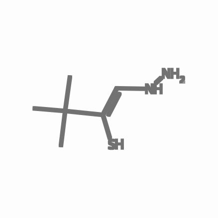 CC(C)(C)/C(S)=C/NN